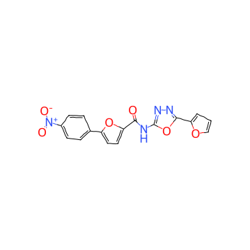 O=C(Nc1nnc(-c2ccco2)o1)c1ccc(-c2ccc([N+](=O)[O-])cc2)o1